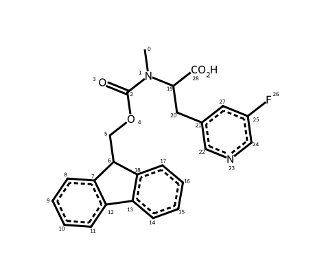 CN(C(=O)OCC1c2ccccc2-c2ccccc21)C(Cc1cncc(F)c1)C(=O)O